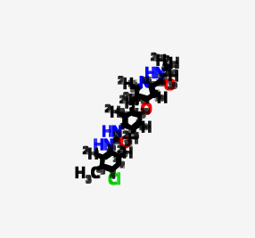 [2H]c1cc(Cl)c(C)c([2H])c1NC(=O)Nc1c([2H])c([2H])c(Oc2c([2H])c([2H])nc(C(=O)NC([2H])([2H])[2H])c2[2H])c([2H])c1[2H]